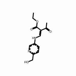 CCOC(=O)C(=CNc1ccc(CO)nc1)C(C)=O